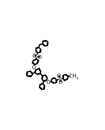 Cc1ccc(S(=O)(=O)c2ccc(Oc3ccc(-c4ccc(Oc5ccc(S(=O)(=O)c6ccc(Cc7ccccc7)cc6)cc5)c(-c5ccccc5)c4)cc3-c3ccccc3)cc2)cc1